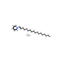 CCCCCCCCCCCCCCCCC=C[n+]1ccccc1.[Cl-]